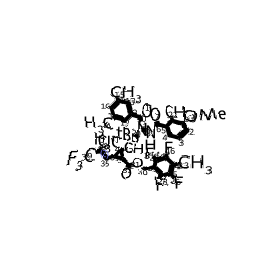 COc1cccc(C(=O)NN(C(=O)c2cc(C)cc(C)c2)C(C)(C)C)c1C.Cc1c(F)c(F)c(COC(=O)C2C(/C=C(\Cl)C(F)(F)F)C2(C)C)c(F)c1F